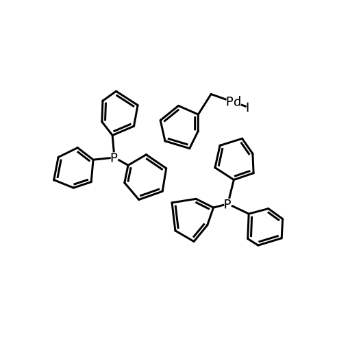 [I][Pd][CH2]c1ccccc1.c1ccc(P(c2ccccc2)c2ccccc2)cc1.c1ccc(P(c2ccccc2)c2ccccc2)cc1